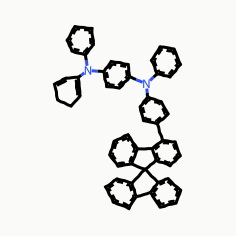 C1=CC(N(c2ccccc2)c2ccc(N(c3ccccc3)c3ccc(-c4cccc5c4-c4ccccc4C54c5ccccc5-c5ccccc54)cc3)cc2)=CCC1